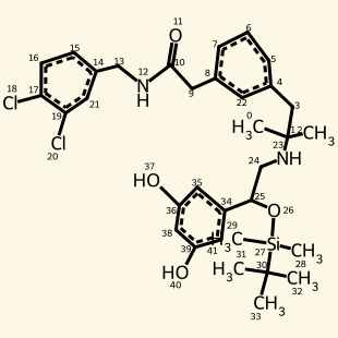 CC(C)(Cc1cccc(CC(=O)NCc2ccc(Cl)c(Cl)c2)c1)NCC(O[Si](C)(C)C(C)(C)C)c1cc(O)cc(O)c1